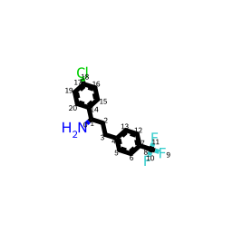 NC(CCc1ccc(C(F)(F)F)cc1)c1ccc(Cl)cc1